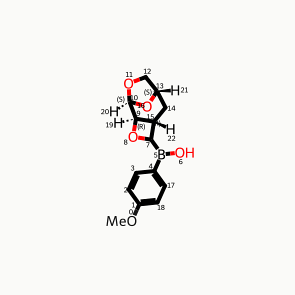 COc1ccc(B(O)C2O[C@H]3[C@H]4OC[C@H](C[C@H]23)O4)cc1